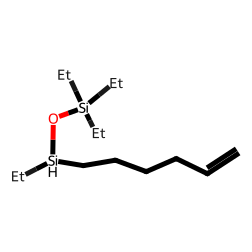 C=CCCCC[SiH](CC)O[Si](CC)(CC)CC